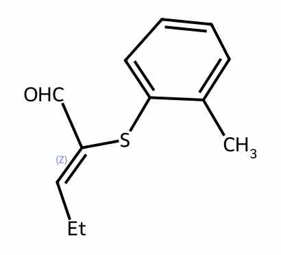 CC/C=C(/C=O)Sc1ccccc1C